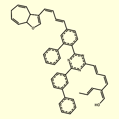 C/C=C/C(/C=C\C=C\c1nc(-c2cccc(-c3ccccc3)c2)nc(-c2ccc(/C=C/C=C\C3=COC4C=CCC=CC34)cc2-c2ccccc2)n1)=C\O